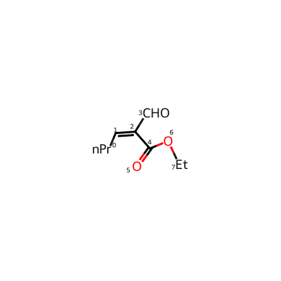 CCC/C=C(/C=O)C(=O)OCC